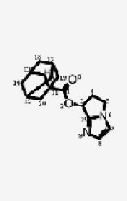 O=C(O[C@H]1CCn2ccnc21)C12CC3CC(CC(C3)C1)C2